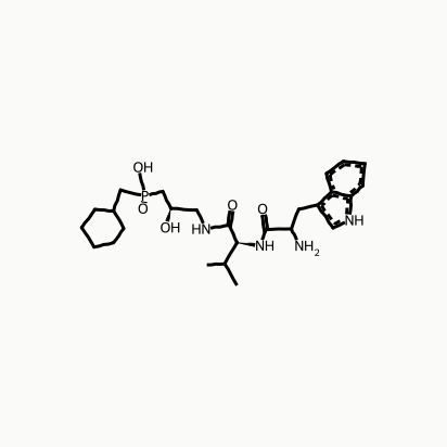 CC(C)[C@H](NC(=O)C(N)Cc1c[nH]c2ccccc12)C(=O)NC[C@@H](O)CP(=O)(O)CC1CCCCC1